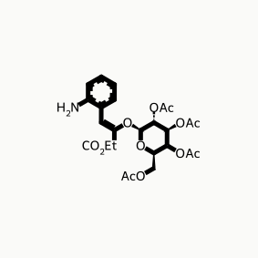 CCOC(=O)/C(=C/c1ccccc1N)O[C@@H]1O[C@H](COC(C)=O)C(OC(C)=O)[C@H](OC(C)=O)[C@H]1OC(C)=O